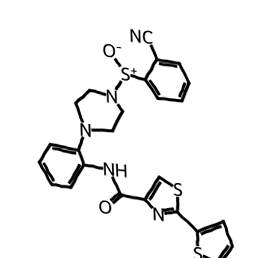 N#Cc1ccccc1[S+]([O-])N1CCN(c2ccccc2NC(=O)c2csc(-c3cccs3)n2)CC1